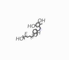 CC1=C(/C=C\C2=CCC[C@]3(C)[C@@H]([C@H](C)CC[C@H](F)C(C)(C)O)CC[C@@H]23)C[C@@H](O)C[C@@H]1O